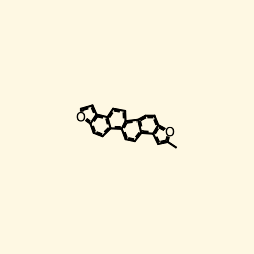 Cc1cc2c(ccc3c2ccc2c4ccc5occc5c4ccc32)o1